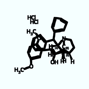 COc1ccc(OC)c(CN[C@H]2[C@H]3CCN(C[C@@H]3C(=O)O)[C@H]2C(c2ccccc2)c2ccccc2)c1.Cl.Cl